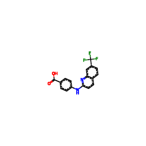 O=C(O)c1ccc(Nc2ccc3ccc(C(F)(F)F)cc3n2)cc1